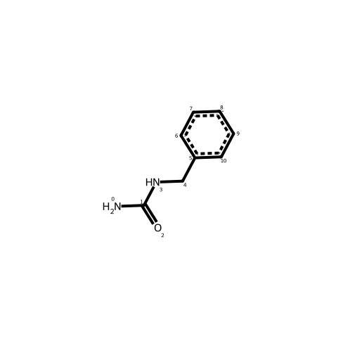 NC(=O)NCc1cc[c]cc1